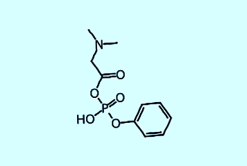 CN(C)CC(=O)OP(=O)(O)Oc1ccccc1